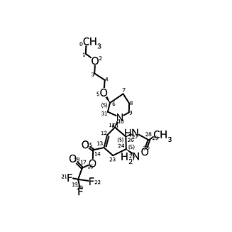 CCOCCO[C@H]1CCCN([C@@H]2C=C(C(=O)OC(=O)C(F)(F)F)C[C@H](N)[C@@H]2NC(C)=O)C1